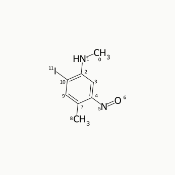 CNc1cc(N=O)c(C)cc1I